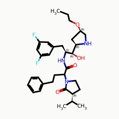 CCCO[C@H]1CN[C@@H]([C@@H](O)[C@H](Cc2cc(F)cc(F)c2)NC(=O)C(CCc2ccccc2)N2CC[C@H](C(C)C)C2=O)C1